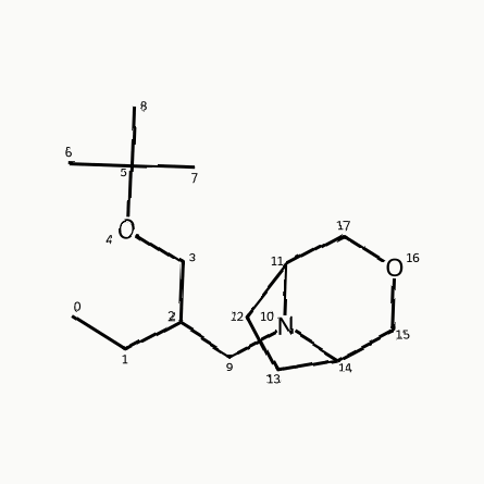 CCC(COC(C)(C)C)CN1C2CCC1COC2